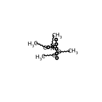 CCCCCCCCOc1ccc(-c2nc3c4cc(-c5cc(OCCCCCCCC)c(-c6ccccc6)cc5OCCCCCCCC)ccc4c4ccc(-c5ccccc5)cc4c3n2CCCCCCCC)cc1